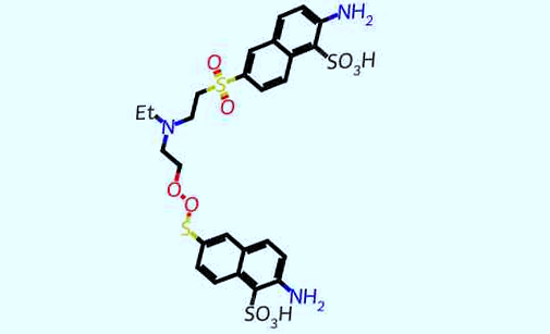 CCN(CCOOSc1ccc2c(S(=O)(=O)O)c(N)ccc2c1)CCS(=O)(=O)c1ccc2c(S(=O)(=O)O)c(N)ccc2c1